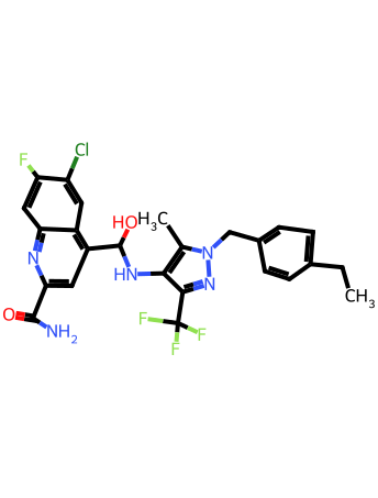 CCc1ccc(Cn2nc(C(F)(F)F)c(NC(O)c3cc(C(N)=O)nc4cc(F)c(Cl)cc34)c2C)cc1